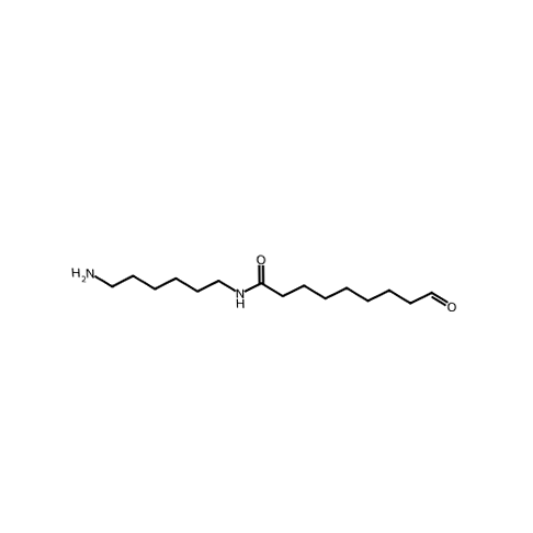 NCCCCCCNC(=O)CCCCCCCC=O